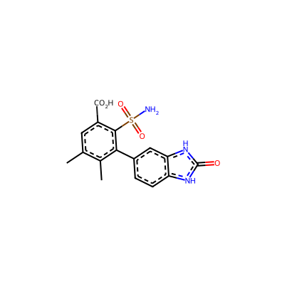 Cc1cc(C(=O)O)c(S(N)(=O)=O)c(-c2ccc3[nH]c(=O)[nH]c3c2)c1C